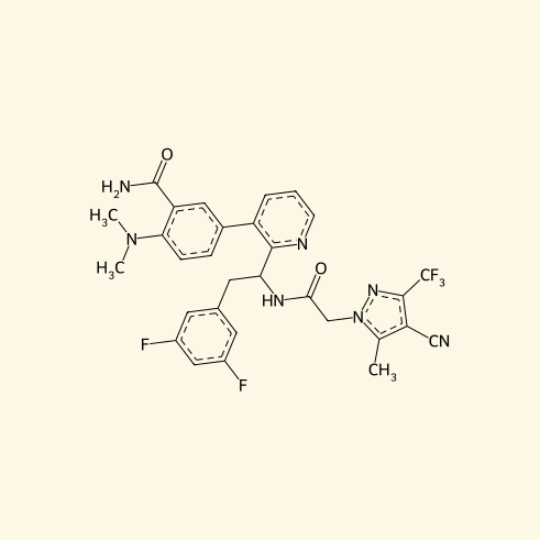 Cc1c(C#N)c(C(F)(F)F)nn1CC(=O)NC(Cc1cc(F)cc(F)c1)c1ncccc1-c1ccc(N(C)C)c(C(N)=O)c1